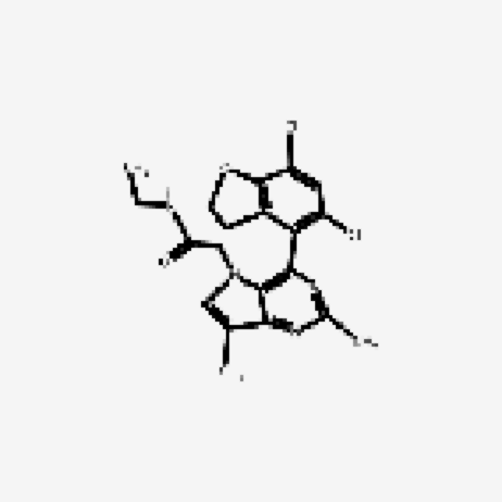 CCNC(=O)Cn1cc(C)c2nc(N)nc(-c3c(Cl)cc(Cl)c4c3CCO4)c21